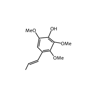 CC=Cc1cc(OC)c(O)c(OC)c1OC